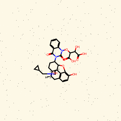 O=C(O)C(O)C(On1c(=O)n(C2CC[C@@]3(O)[C@H]4Cc5ccc(O)c6c5[C@@]3(CCN4CC3CC3)C2O6)c(=O)c2ccccc21)C(=O)O